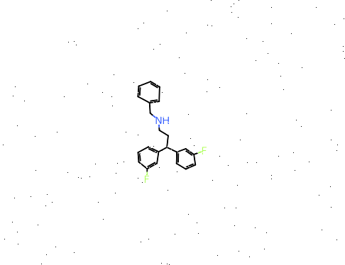 Fc1cccc(C(CCNCc2ccccc2)c2cccc(F)c2)c1